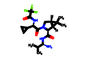 CC(C)[C@@H](N)NC(=O)[C@@H]1[C@@H]2[C@H](CN1C(=O)[C@@H](NC(=O)C(F)(F)F)C1CC1)C2(C)C